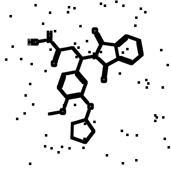 COc1ccc(C(CC(=O)NO)N2C(=O)c3ccccc3C2=O)cc1OC1CCCC1